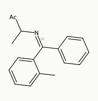 CC(=O)C(C)/N=C(/c1ccccc1)c1ccccc1C